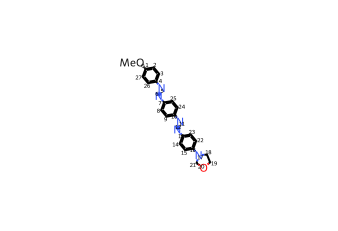 COc1ccc(N=Nc2ccc(N=Nc3ccc(N4CCOC4)cc3)cc2)cc1